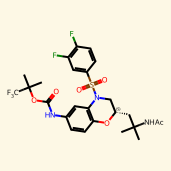 CC(=O)NC(C)(C)C[C@H]1CN(S(=O)(=O)c2ccc(F)c(F)c2)c2cc(NC(=O)OC(C)(C)C(F)(F)F)ccc2O1